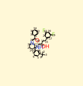 CC(C)(C)c1cccc(C2(NCC(O)CCc3cc(F)cc(F)c3)CCCN(CC(=O)c3ccccc3)C2)c1